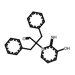 N=c1c(O)cccn1C(C=O)(Cc1ccccc1)Cc1ccccc1